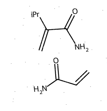 C=C(C(N)=O)C(C)C.C=CC(N)=O